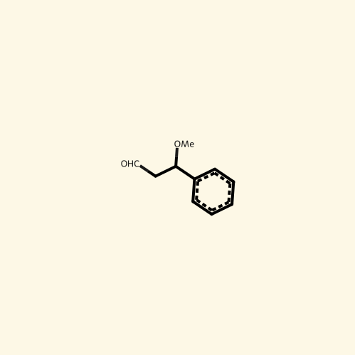 COC(CC=O)c1ccccc1